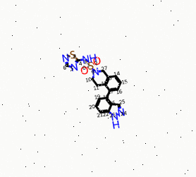 O=S(=O)(Nc1ncns1)N1CCc2c(cccc2-c2cccc3[nH]ncc23)C1